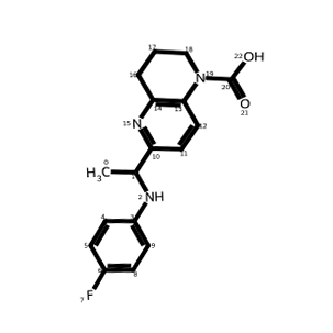 CC(Nc1ccc(F)cc1)c1ccc2c(n1)CCCN2C(=O)O